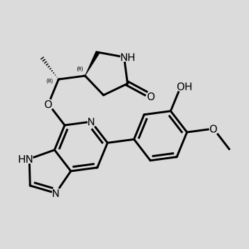 COc1ccc(-c2cc3nc[nH]c3c(O[C@H](C)[C@H]3CNC(=O)C3)n2)cc1O